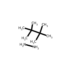 CC(C)(C)C(C)(C)C.NN